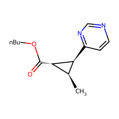 CCCCOC(=O)[C@H]1[C@H](C)[C@@H]1c1ccncn1